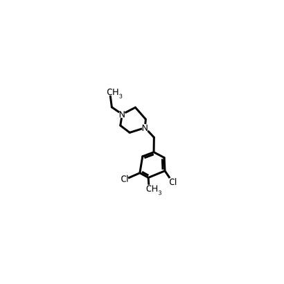 CCN1CCN(Cc2cc(Cl)c(C)c(Cl)c2)CC1